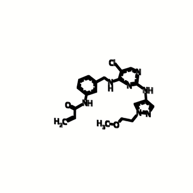 C=CC(=O)Nc1cccc(CNc2nc(Nc3cnn(CCOC)c3)ncc2Cl)c1